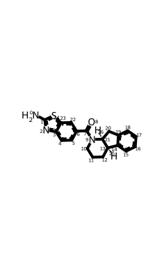 Nc1nc2ccc(C(=O)N3CCC[C@@H]4c5ccccc5C[C@@H]43)cc2s1